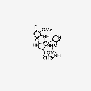 COc1c(F)cccc1Nc1c(-c2ccncc2OC[C@@H]2CNCCO2)[nH]c2c1C(=O)NCC2CCC=O